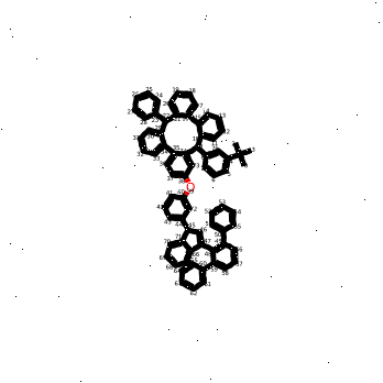 CC(C)(C)c1cccc(C2c3ccccc3-c3ccccc3C(c3ccccc3)c3ccccc3-c3ccc(Oc4cccc(C5C=C(c6c(-c7ccccc7)cccc6-c6ccccc6)c6ccccc65)c4)cc32)c1